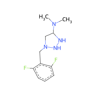 CN(C)C1CN(Cc2c(F)cccc2F)NN1